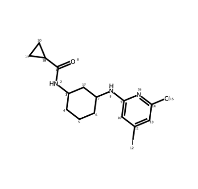 O=C(NC1CCCC(Nc2cc(I)cc(Cl)n2)C1)C1CC1